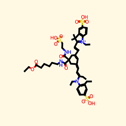 CCOC(=O)CCCCCNC(=O)C1(C(=O)NCCS(=O)(=O)O)CC(/C=C/C2=[N+](CC)c3ccc(S(=O)(=O)O)cc3C2(C)C)=CC(=C/C=C(\CC)N(CC)c2ccc(S(=O)(=O)O)cc2CC)/C1